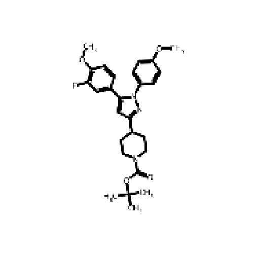 COc1ccc(-n2nc(C3CCN(C(=O)OC(C)(C)C)CC3)cc2-c2ccc(OC)c(F)c2)cc1